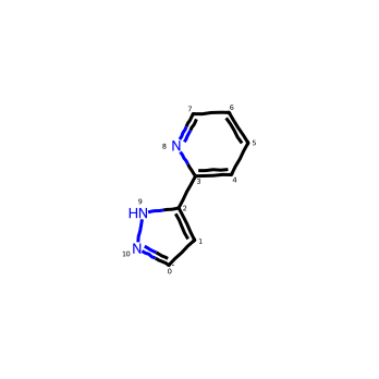 [c]1cc(-c2ccccn2)[nH]n1